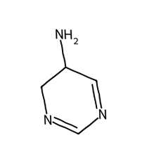 NC1C=NC=NC1